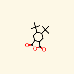 CC(C)(C)C1CC2C(=O)OC(=O)C2CC1C(C)(C)C